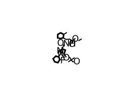 CCOC(=O)CC(NC(=O)c1cc(OCC2(C)COC2)n(-c2ccccc2F)n1)c1ccccc1C